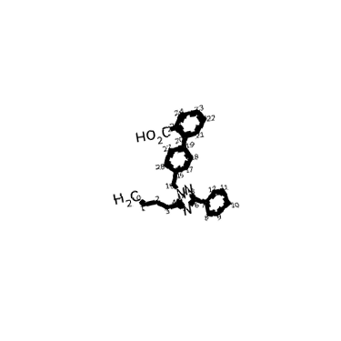 C=CCCc1nc(-c2ccccc2)nn1Cc1ccc(-c2ccccc2C(=O)O)cc1